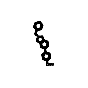 COc1ccc(-c2ccc3c(c2)CN(Cc2ccccc2)C3)cc1